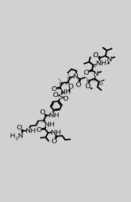 CCCC(=O)NC(C(=O)N[C@@H](CCCNC(N)=O)C(=O)Nc1ccc(S(=O)(=O)NC(=O)[C@H](C)[C@@H](OC)[C@@H]2CCCN2C(=O)C[C@@H](OC)[C@H]([C@@H](C)CC)N(C)C(=O)[C@@H](NC(=O)C(C(C)C)N(C)C)C(C)C)cc1)C(C)C